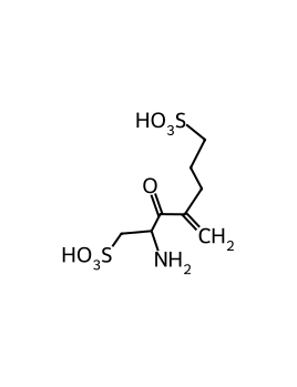 C=C(CCCS(=O)(=O)O)C(=O)C(N)CS(=O)(=O)O